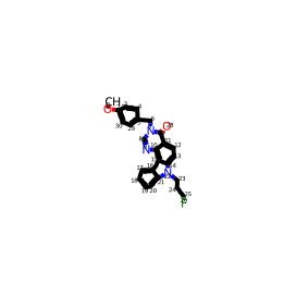 COc1ccc(Cn2cnc3c(ccc4c3c3ccccc3n4CCCF)c2=O)cc1